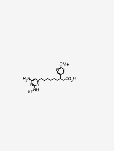 CCNc1nc(N)cc(CCCCCCC(CC(=O)O)c2ccc(OC)nc2)n1